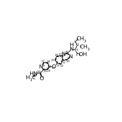 CC[C@H](C)[C@@H](CO)Nc1ncc2cc(Oc3ccnc(C(=O)NC)c3)ccc2n1